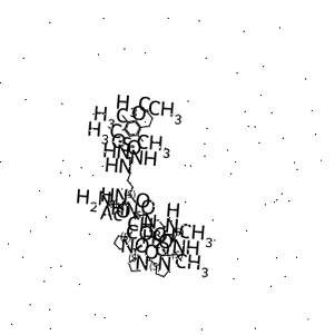 CC(=O)[C@H](N)C(=O)N[C@@H](CCCNC(=N)NS(=O)(=O)c1c(C)c(C)c2c(c1C)CCC(C)(C)O2)C(=O)N[C@@H](C)C(=O)NCC(=O)N[C@@H](C)C(=O)N[C@@H](C)C(=O)N1CCC[C@H]1C(=O)N1CCC[C@H]1C(=O)N1CCC[C@H]1C(=O)O